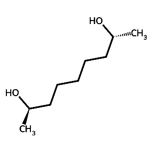 C[C@@H](O)CCCCC[C@@H](C)O